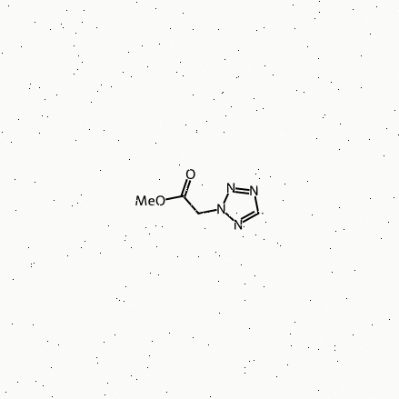 COC(=O)Cn1n[c]nn1